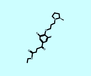 CCOC(=O)CCC(=O)c1cc(F)c(OCCCN2CCC[C@H]2C)c(F)c1